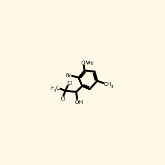 COc1cc(C)cc(C(O)C(Cl)(Cl)C(F)(F)F)c1Br